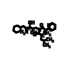 CC(C)C[C@H](N)C(=O)N(C[C@H](O)[C@H](O)[C@@H](N)CC1CCCCC1)C(=O)Cc1ccccn1